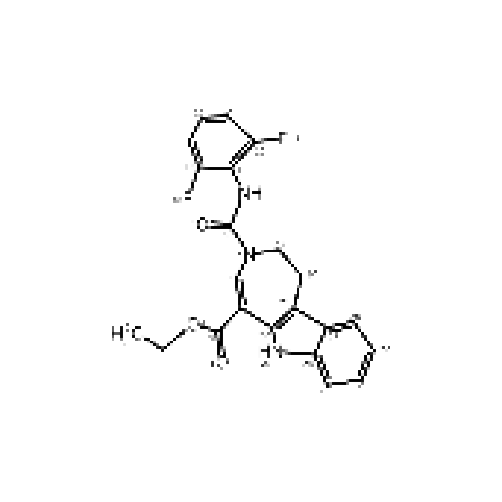 CCOC(=O)C1=CN(C(=O)Nc2c(F)cccc2F)CCc2c1[nH]c1ccccc21